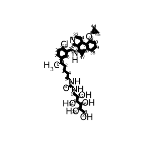 C[C@@H](CCCCNC(=O)NC[C@H](O)[C@@H](O)C(O)[C@H](O)CO)c1ccc(Cl)c(CNC2(c3cnccc3-c3ccccc3OC3CC3)CC2)c1